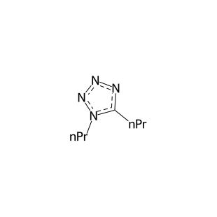 CCCc1nnnn1CCC